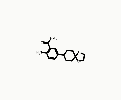 CNC(=O)c1cc(C2CCC3(CC2)OCCO3)ccc1N